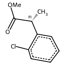 COC(=O)[C@H](C)c1ccccc1Cl